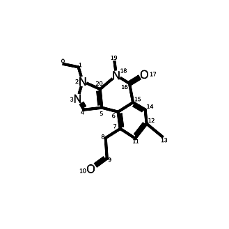 CCn1ncc2c3c(CC=O)cc(C)cc3c(=O)n(C)c21